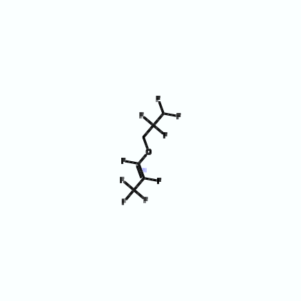 F/C(OCC(F)(F)C(F)F)=C(/F)C(F)(F)F